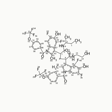 CCC(C)NC(=O)C(CC(C(=O)NCCO)c1c(C)n(C(=O)c2ccc(OC(F)(F)F)cc2)c2cc(F)c(O)c(F)c12)c1c(C)n(C(=O)c2ccc(OC(F)(F)F)cc2)c2cc(F)c(O)c(F)c12